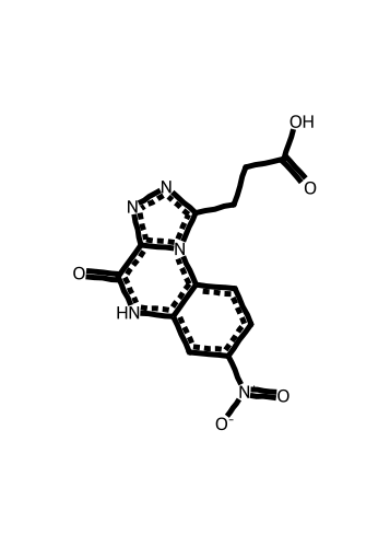 O=C(O)CCc1nnc2c(=O)[nH]c3cc([N+](=O)[O-])ccc3n12